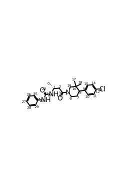 C[C@H](CC(=O)N1CCC(c2ccc(Cl)cc2)C(C)(C)C1)NC(=O)Nc1ccccc1